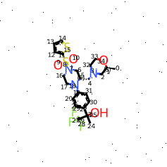 C[C@H]1CN(C[C@H]2CN(S(=O)(=O)c3cccs3)CCN2c2ccc(C(C)(O)C(F)(F)F)cc2)CCO1